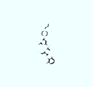 C=C(Nc1cc(N2CCN(CCC)CC2)nc(C)n1)S/C(=C\N)C(=O)Nc1c(C)cccc1Cl